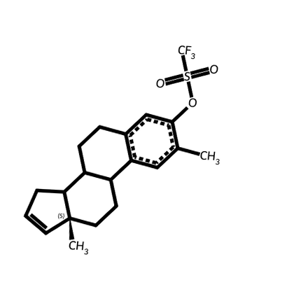 Cc1cc2c(cc1OS(=O)(=O)C(F)(F)F)CCC1C2CC[C@]2(C)C=CCC12